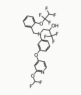 OC(CN(Cc1ccccc1OC(F)(F)C(F)F)c1cccc(Oc2ccnc(OC(F)F)c2)c1)C(F)(F)F